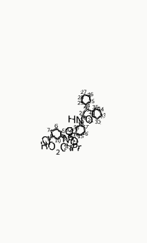 CC(C)C(C(=O)O)N(c1cccc(Cl)c1)S(=O)(=O)c1cccc(NC(=O)CC(c2ccccc2)c2ccccc2)c1